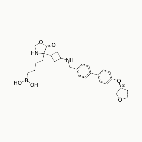 O=C1OCNC1(CCCCB(O)O)C1CC(NCc2ccc(-c3ccc(O[C@H]4CCOC4)cc3)cc2)C1